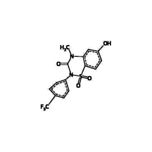 CN1C(=O)N(c2ccc(C(F)(F)F)cc2)S(=O)(=O)c2ccc(O)cc21